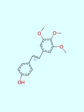 COc1cc(/C=C/c2ccc(O)cc2)cc(OC)c1OC